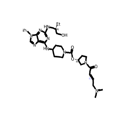 CC[C@H](CO)Nc1nc(NC2CCN(C(=O)O[C@@H]3CCN(C(=O)/C=C/CN(C)C)C3)CC2)c2ncn(C(C)C)c2n1